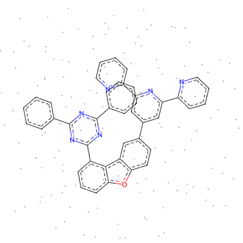 c1ccc(-c2nc(-c3ccccc3)nc(-c3cccc4oc5ccc(-c6cc(-c7ccccn7)nc(-c7ccccn7)c6)cc5c34)n2)cc1